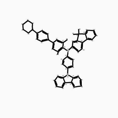 Cc1cc(-c2ccc(C3CCCCC3)cc2)cc(C)c1N(c1ccc(-n2c3ccccc3c3ccccc32)cc1)c1ccc2c(c1)C(C)(C)c1ccccc1-2